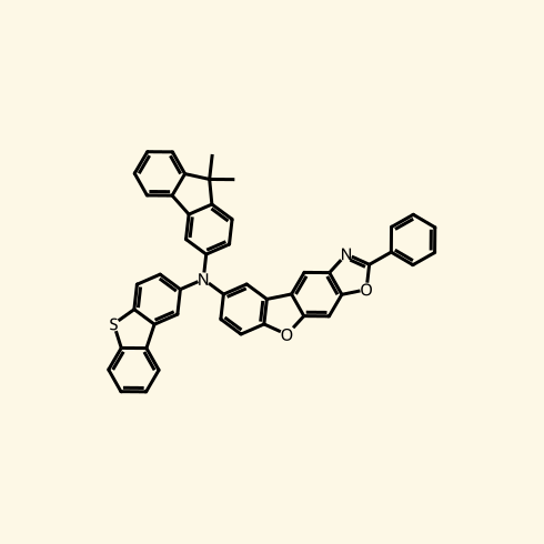 CC1(C)c2ccccc2-c2cc(N(c3ccc4oc5cc6oc(-c7ccccc7)nc6cc5c4c3)c3ccc4sc5ccccc5c4c3)ccc21